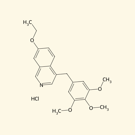 CCOc1ccc2c(Cc3cc(OC)c(OC)c(OC)c3)cncc2c1.Cl